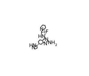 Nc1nc(NCC(F)(F)c2ccccn2)c2ccc(-c3ccn[nH]3)cc2n1